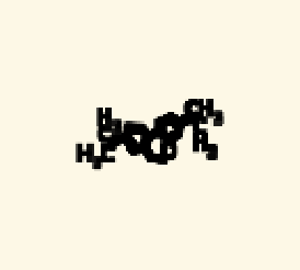 CC(C)c1ccc2c(c1)CCOc1cc(C(C)C)ccc1-2